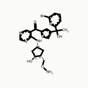 CC(O)(c1csc(C(=O)c2cncnc2N[C@@H]2C[C@H](CON)[C@@H](O)C2)c1)c1cccc(Br)n1